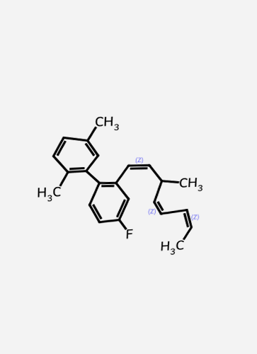 C/C=C\C=C/C(C)/C=C\c1cc(F)ccc1-c1cc(C)ccc1C